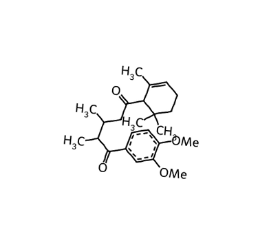 COc1ccc(C(=O)C(C)C(C)CC(=O)C2C(C)=CCCC2(C)C)cc1OC